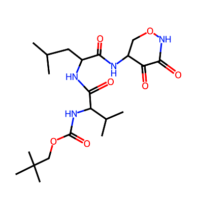 CC(C)CC(NC(=O)C(NC(=O)OCC(C)(C)C)C(C)C)C(=O)NC1CONC(=O)C1=O